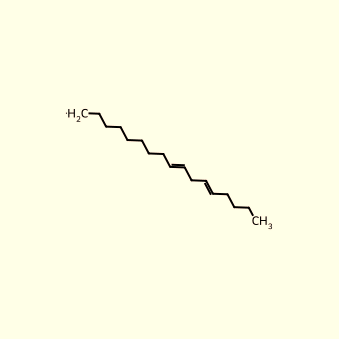 [CH2]CCCCCCCC=CCC=CCCCC